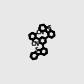 N#Cc1cccc(C#N)c1-c1cc(-c2cccc3c2sc2ccccc23)cc(-c2cccc3sc4ccccc4c23)c1